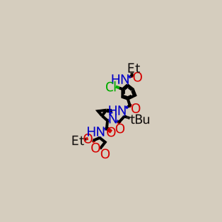 CCOC1OC(=O)CC1NC(=O)C1C2CC2=CN1C(=O)C(NC(=O)c1ccc(NC(=O)CC)c(Cl)c1)C(C)(C)C